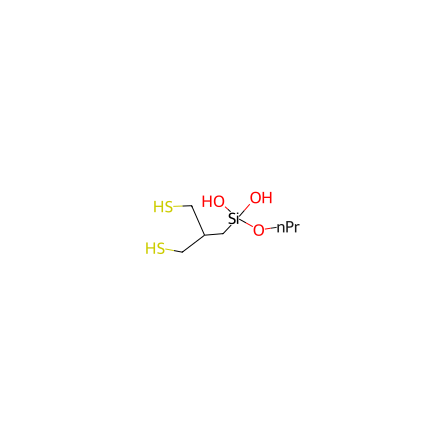 CCCO[Si](O)(O)CC(CS)CS